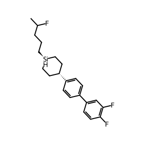 CC(F)CCC[Si@H]1CC[C@H](c2ccc(-c3ccc(F)c(F)c3)cc2)CC1